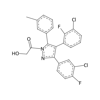 Cc1cccc(-c2c(-c3cccc(Cl)c3F)c(-c3ccc(F)c(Cl)c3)nn2C(=O)CO)c1